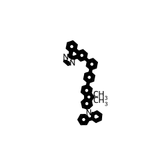 CC1(C)c2cc(-c3ccc(-c4cccc(-c5ccc6c7ccccc7c7nccnc7c6c5)c4)cc3)ccc2-c2ccc(N3c4ccccc4C4C=CC=CC43)cc21